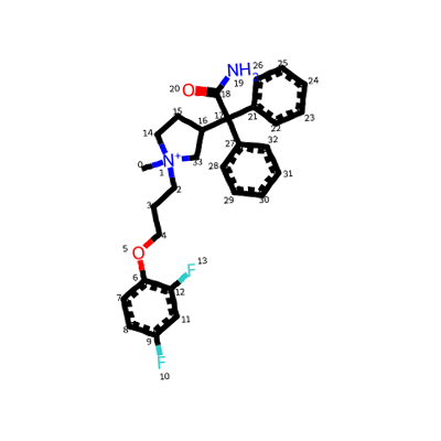 C[N+]1(CCCOc2ccc(F)cc2F)CCC(C(C(N)=O)(c2ccccc2)c2ccccc2)C1